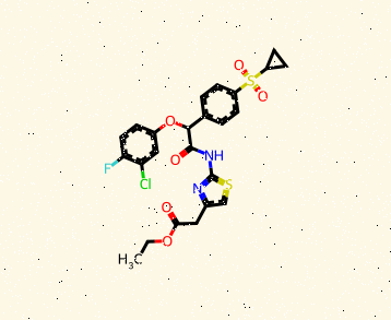 CCOC(=O)Cc1csc(NC(=O)C(Oc2ccc(F)c(Cl)c2)c2ccc(S(=O)(=O)C3CC3)cc2)n1